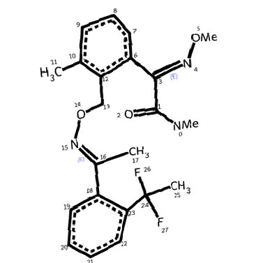 CNC(=O)/C(=N/OC)c1cccc(C)c1CO/N=C(\C)c1ccccc1C(C)(F)F